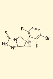 Fc1ccc(Br)c(F)c1[C@]12CC1c1n[nH]c(=S)n1C2